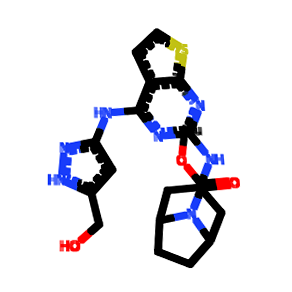 CC(C)(C)OC(=O)N1C2CCC1CC(Nc1nc(Nc3cc(CO)[nH]n3)c3ccsc3n1)C2